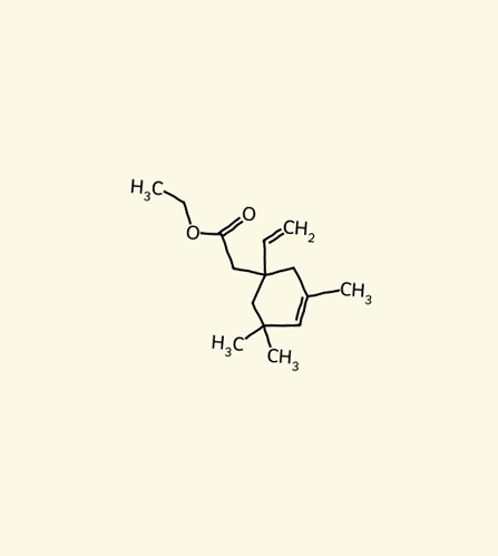 C=CC1(CC(=O)OCC)CC(C)=CC(C)(C)C1